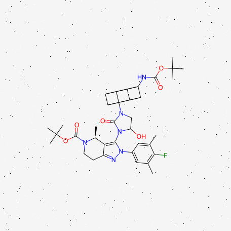 Cc1cc(-n2nc3c(c2N2C(=O)N(C45C6C7C4C4C5C6C74NC(=O)OC(C)(C)C)CC2O)[C@H](C)N(C(=O)OC(C)(C)C)CC3)cc(C)c1F